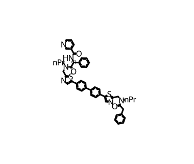 CCCN(Cc1ncc(-c2ccc(-c3ccc(-c4cnc(CN(CCC)C(=O)[C@@H](NC(=O)c5cccnc5)c5ccccc5)s4)cc3)cc2)s1)C(=O)Cc1ccccc1